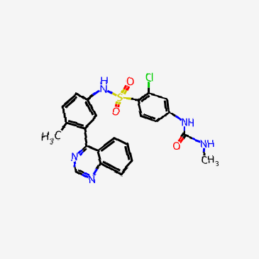 CNC(=O)Nc1ccc(S(=O)(=O)Nc2ccc(C)c(-c3ncnc4ccccc34)c2)c(Cl)c1